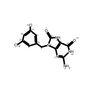 Nc1nc2c([nH]c(=O)n2Cc2cc(Cl)cc(Cl)c2)c(=O)[nH]1